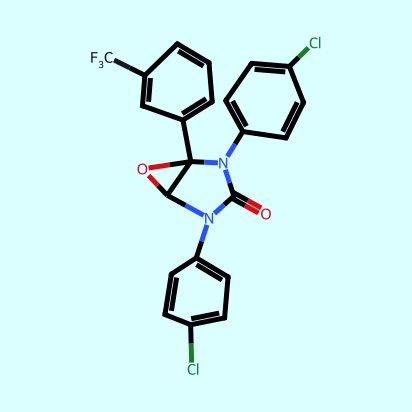 O=C1N(c2ccc(Cl)cc2)C2OC2(c2cccc(C(F)(F)F)c2)N1c1ccc(Cl)cc1